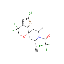 C#C[C@@H]1C[C@]2(C[C@H](C)N1C(=O)C(F)(F)F)OCC(F)(F)c1cc(Cl)sc12